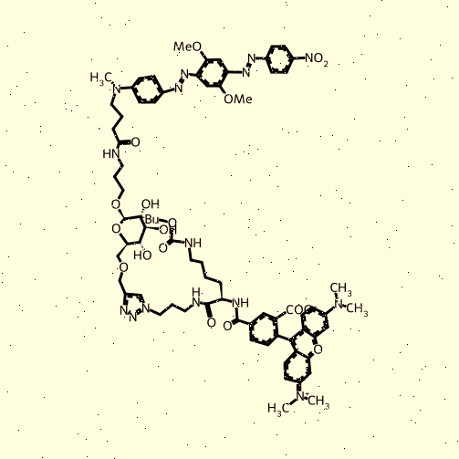 COc1cc(/N=N/c2ccc([N+](=O)[O-])cc2)c(OC)cc1/N=N/c1ccc(N(C)CCCC(=O)NCCCO[C@@H]2O[C@H](COCc3cn(CCCNC(=O)[C@@H](CCCCNC(=O)OC(C)(C)C)NC(=O)c4ccc(-c5c6ccc(=[N+](C)C)cc-6oc6cc(N(C)C)ccc56)c(C(=O)[O-])c4)nn3)[C@@H](O)[C@H](O)[C@H]2O)cc1